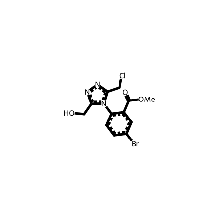 COC(=O)c1cc(Br)ccc1-n1c(CO)nnc1CCl